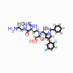 CC(C)(C)[C@H](c1cc(-c2cc(F)ccc2F)cn1Cc1ccccc1)N(CC[C@H](NC(=O)O)C(=O)NCCN)C(=O)CO